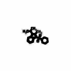 Cc1c(C(C)C)c2ccccc2n1S(=O)(=O)N1CCCCC1